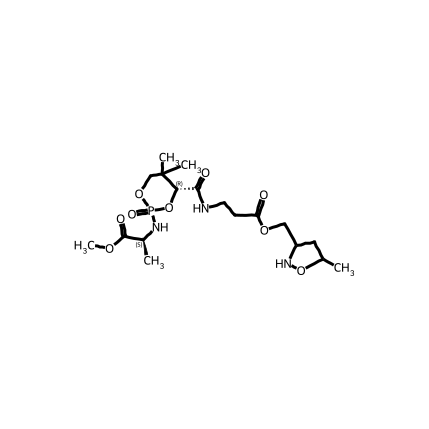 COC(=O)[C@H](C)NP1(=O)OCC(C)(C)[C@H](C(=O)NCCC(=O)OCC2CC(C)ON2)O1